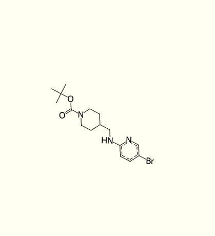 CC(C)(C)OC(=O)N1CCC(CNc2ccc(Br)cn2)CC1